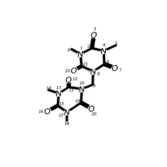 Cn1c(=O)n(C)c(=O)n(Cn2c(=O)n(C)c(=O)n(C)c2=O)c1=O